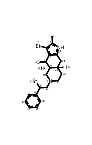 CCc1c(C)[nH]c2c1C(=S)[C@@H]1CN(CC(O)c3ccccc3)CC[C@H]1C2